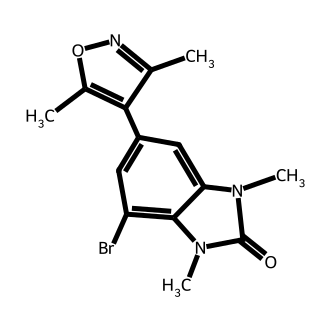 Cc1noc(C)c1-c1cc(Br)c2c(c1)n(C)c(=O)n2C